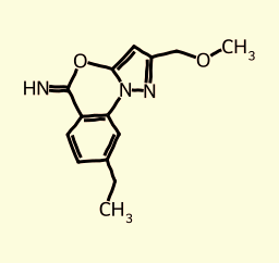 CCc1ccc2c(=N)oc3cc(COC)nn3c2c1